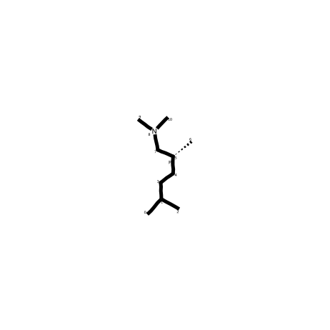 CC(C)CC[C@@H](C)CN(C)C